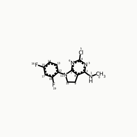 CNc1nc(Cl)nc2c1CCN2c1ccc(F)cc1F